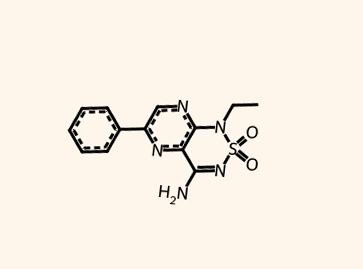 CCN1c2ncc(-c3ccccc3)nc2C(N)=NS1(=O)=O